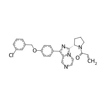 C=CC(=O)N1CCC[C@H]1c1nc(-c2ccc(OCc3cccc(Cl)c3)cc2)c2cnccn12